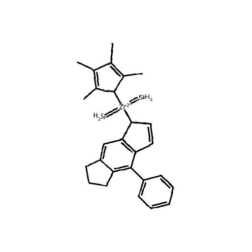 CC1=C(C)[CH]([Zr-2](=[SiH2])(=[SiH2])[CH]2C=Cc3c2cc2c(c3-c3ccccc3)CCC2)C(C)=C1C